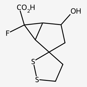 O=C(O)C1(F)C2C(O)CC3(CCSS3)C21